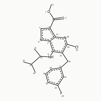 COC(=O)c1cnn2c(NC(C)C(C)C)c(Cc3cccc(F)c3)c(Cl)nc12